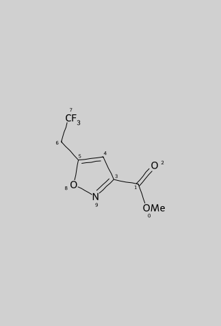 COC(=O)c1cc(CC(F)(F)F)on1